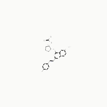 COc1ccc2nc(/C=C/c3ccc(Cl)cc3)nc(N[C@H]3CCC[C@H]3NC(=N)N)c2c1.Cl.Cl